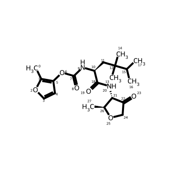 Cc1occc1OC(=O)N[C@@H](CC(C)(C)C(C)C)C(=O)N[C@@H]1C(=O)CO[C@H]1C